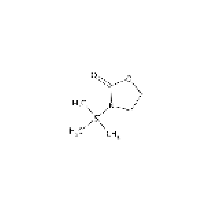 CS(C)(C)N1CCOC1=O